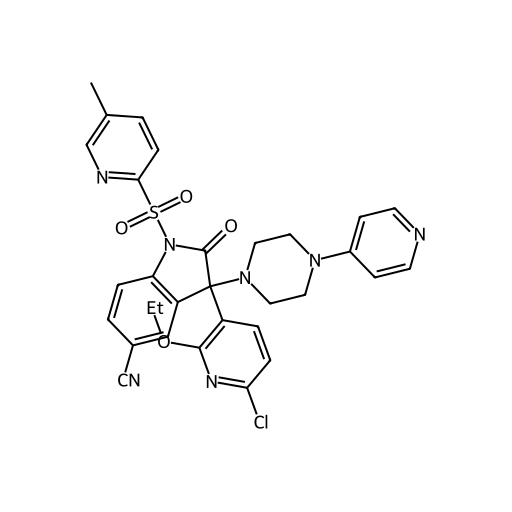 CCOc1nc(Cl)ccc1C1(N2CCN(c3ccncc3)CC2)C(=O)N(S(=O)(=O)c2ccc(C)cn2)c2ccc(C#N)cc21